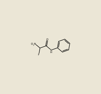 O=C(Nc1ccccc1)C(F)[N+](=O)[O-]